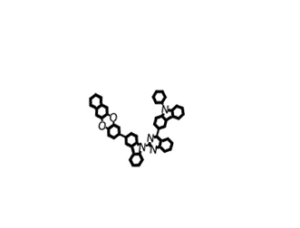 c1ccc(-n2c3ccccc3c3cc(-c4nc(-n5c6ccccc6c6cc(-c7ccc8c(c7)Oc7cc9ccccc9cc7O8)ccc65)nc5ccccc45)ccc32)cc1